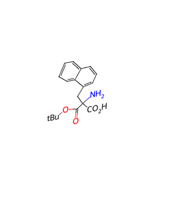 CC(C)(C)OC(=O)C(N)(Cc1cccc2ccccc12)C(=O)O